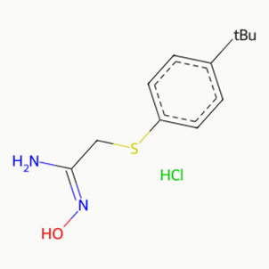 CC(C)(C)c1ccc(SCC(N)=NO)cc1.Cl